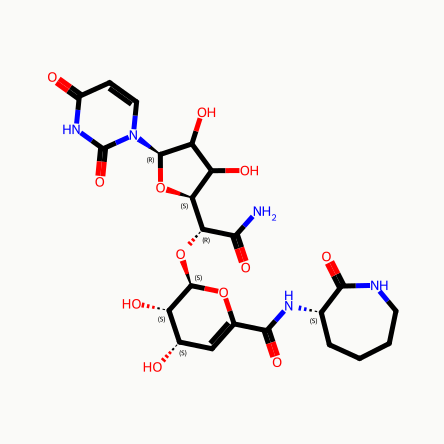 NC(=O)[C@H](O[C@H]1OC(C(=O)N[C@H]2CCCCNC2=O)=C[C@H](O)[C@@H]1O)[C@H]1O[C@@H](n2ccc(=O)[nH]c2=O)C(O)C1O